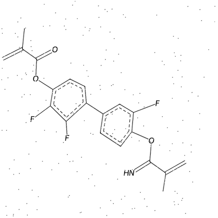 C=C(C)C(=N)Oc1ccc(-c2ccc(OC(=O)C(=C)C)c(F)c2F)cc1F